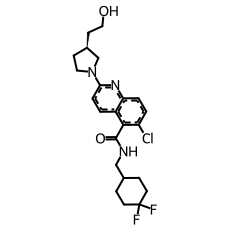 O=C(NCC1CCC(F)(F)CC1)c1c(Cl)ccc2nc(N3CC[C@@H](CCO)C3)ccc12